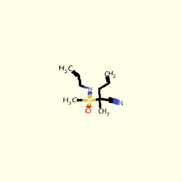 C=CCN=S(C)(=O)C(C)(C#N)CC=C